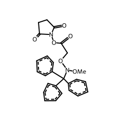 CON(OCC(=O)ON1C(=O)CCC1=O)C(c1ccccc1)(c1ccccc1)c1ccccc1